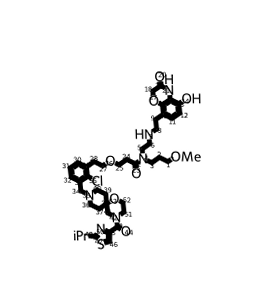 COCCCN(CCNCCc1ccc(O)c2c1OCC(=O)N2)C(=O)CCOCCc1cccc(CN2CCC3(CC2)CN(C(=O)c2csc(C(C)C)n2)CCO3)c1Cl